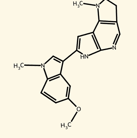 COc1ccc2c(c1)c(-c1cc3c4c(cnc3[nH]1)CCN4C)cn2C